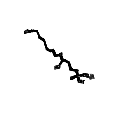 CCCCCCCCCCCCCCCCOC(O)CCOP(=O)(O)C(=O)O